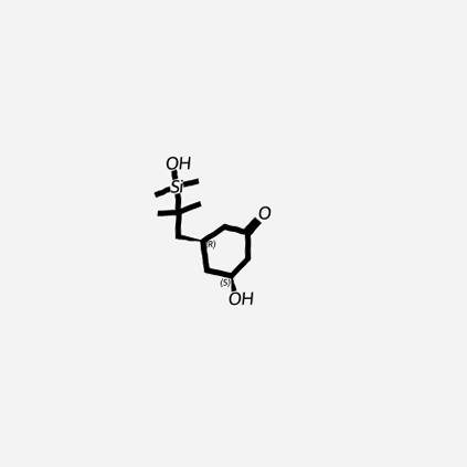 CC(C)(C[C@H]1CC(=O)C[C@@H](O)C1)[Si](C)(C)O